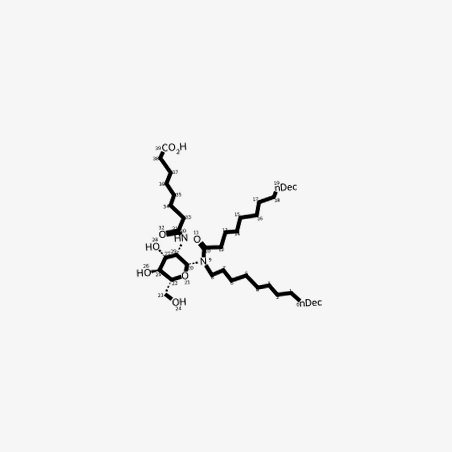 CCCCCCCCCCCCCCCCCCN(C(=O)CCCCCCCCCCCCCCCCC)[C@@H]1O[C@H](CO)[C@@H](O)[C@H](O)[C@@H]1NC(=O)CCCCCCC(=O)O